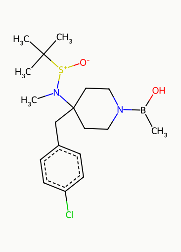 CB(O)N1CCC(Cc2ccc(Cl)cc2)(N(C)[S+]([O-])C(C)(C)C)CC1